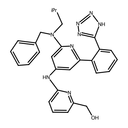 CC(C)CN(Cc1ccccc1)c1cc(Nc2cccc(CO)n2)cc(-c2ccccc2-c2nnn[nH]2)n1